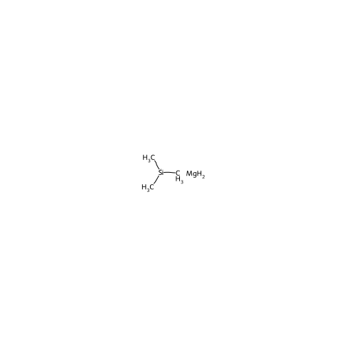 C[Si](C)C.[MgH2]